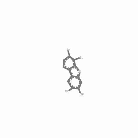 CCc1cc2c(cc1O)sc1c(CC)c(Br)ccc12